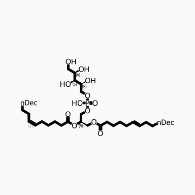 CCCCCCCCCCCCC=CCCCCC(=O)OC[C@H](COP(=O)(O)OC[C@@H](O)[C@@H](O)[C@H](O)CO)OC(=O)CCCC/C=C\CCCCCCCCCCCC